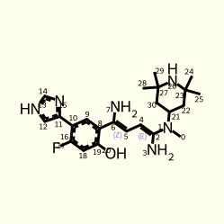 CN(/C(N)=C/C=C(\N)c1cc(-c2c[nH]cn2)c(F)cc1O)C1CC(C)(C)NC(C)(C)C1